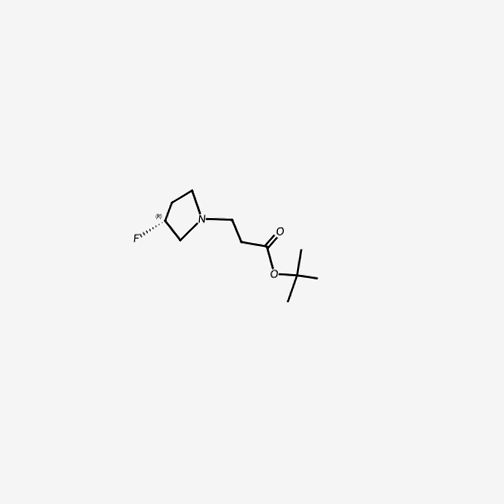 CC(C)(C)OC(=O)CCN1CC[C@@H](F)C1